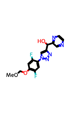 COCOc1cc(F)c(-n2cc(C(O)c3cnccn3)nn2)cc1F